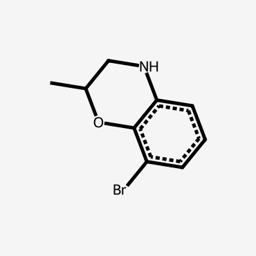 CC1CNc2cccc(Br)c2O1